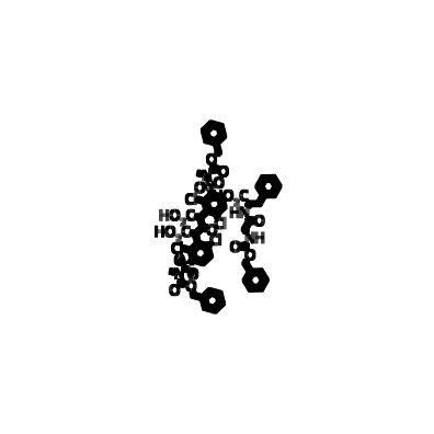 CN(C(=O)OCc1ccccc1)S(=O)(=O)c1ccc(Cl)c(C(C(=O)O)C(=O)C(C(=O)O)c2c(Cl)ccc(S(=O)(=O)N(C)C(=O)OCc3ccccc3)c2Cl)c1Cl.O=C(CNC(=O)OCc1ccccc1)N[C@@H](Cc1ccccc1)C(=O)O